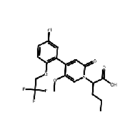 CCCC(C(=O)O)n1cc(OC)c(-c2cc(Cl)ccc2OCC(F)(F)F)cc1=O